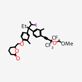 CCC(c1ccc(C#CC(OCOC)(C(F)(F)F)C(F)(F)F)c(C)c1)(c1ccc(OCC2CCCC(=O)O2)c(C)c1)C(C)I